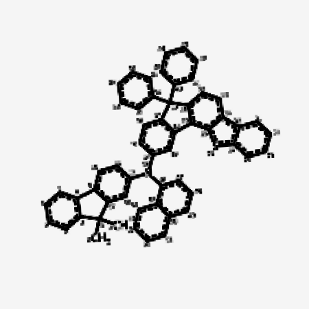 CC1(C)c2ccccc2-c2ccc(N(c3ccc4c(c3)-c3c(ccc5c3sc3ccccc35)C4(c3ccccc3)c3ccccc3)c3cccc4ccccc34)cc21